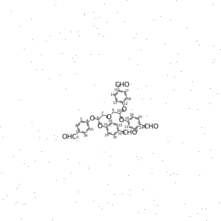 O=Cc1ccc(OC(COCC(Oc2ccc(C=O)cc2)Oc2ccc(C=O)cc2)Oc2ccc(C=O)cc2)cc1